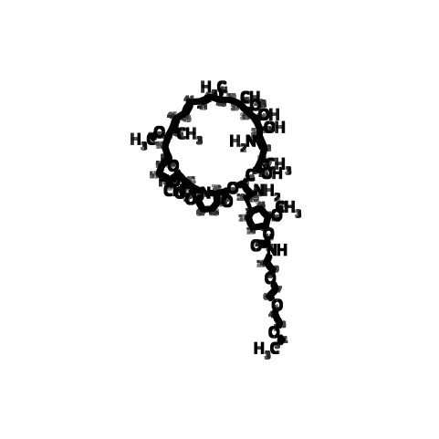 CCOCCOCCOCCNC(=O)O[C@@H]1CC[C@@H](C[C@@H](N)[C@@H]2CC(O)[C@H](C)/C=C(\N)[C@@H](O)[C@@H](O)C(=O)[C@H](C)C[C@H](C)/C=C/C=C/C=C(\C)[C@@H](OC)C[C@@H]3CC[C@@H](C)[C@@](O)(O3)C(=O)C(=O)N3CCCC[C@H]3C(=O)O2)C[C@H]1OC